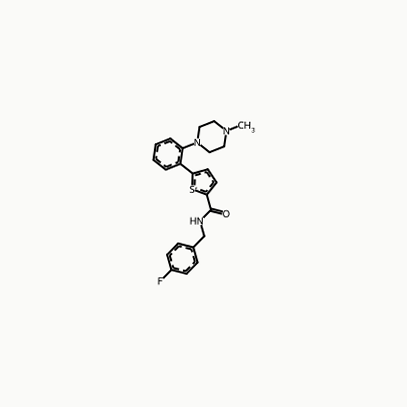 CN1CCN(c2ccccc2-c2ccc(C(=O)NCc3ccc(F)cc3)s2)CC1